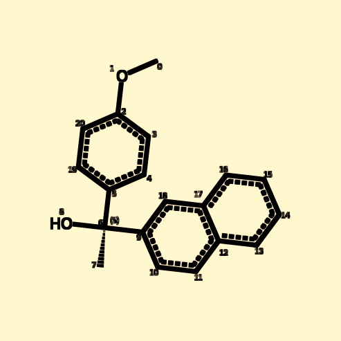 COc1ccc([C@](C)(O)c2ccc3ccccc3c2)cc1